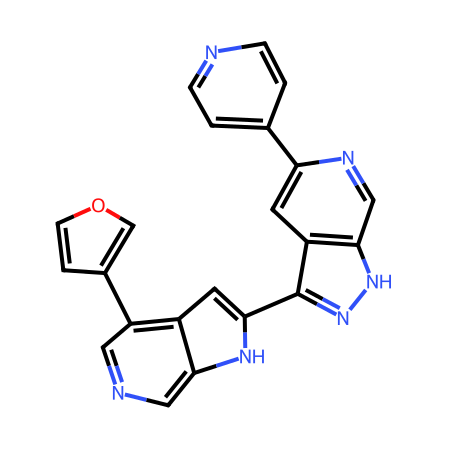 c1cc(-c2cc3c(-c4cc5c(-c6ccoc6)cncc5[nH]4)n[nH]c3cn2)ccn1